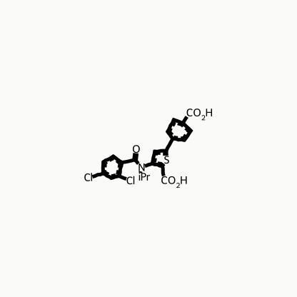 CC(C)N(C(=O)c1ccc(Cl)cc1Cl)c1cc(-c2ccc(C(=O)O)cc2)sc1C(=O)O